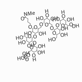 CNC(=O)CCCO[C@@H]1OC(CO[C@H]2OC(CO[C@H]3OC(CO)[C@@H](O)[C@H](O)C3O[C@H]3OC(COO)[C@@H](O)[C@H](O)C3O)[C@@H](O)[C@H](O)C2O)[C@@H](O)[C@H](O[C@H]2OC(CO)[C@@H](O)[C@H](O)C2O[C@H]2OC(COP(=O)(O)O)[C@@H](O)[C@H](O)C2O)C1O